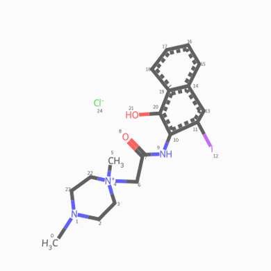 CN1CC[N+](C)(CC(=O)Nc2c(I)cc3ccccc3c2O)CC1.[Cl-]